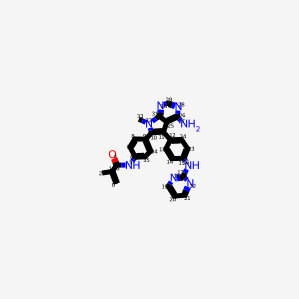 C=C(C)C(=O)Nc1ccc(-c2c(-c3ccc(Nc4ncccn4)cc3)c3c(N)ncnc3n2C)cc1